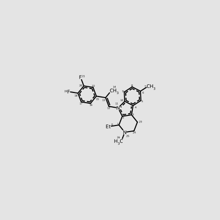 CCC1c2c(c3cc(C)ccc3n2C=C(C)c2ccc(F)c(F)c2)CCN1C